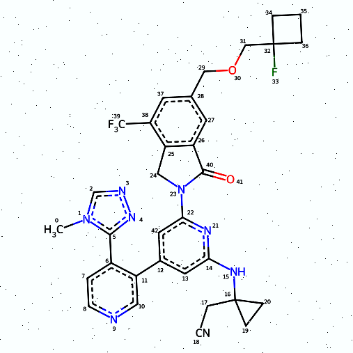 Cn1cnnc1-c1ccncc1-c1cc(NC2(CC#N)CC2)nc(N2Cc3c(cc(COCC4(F)CCC4)cc3C(F)(F)F)C2=O)c1